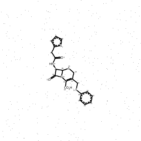 O=C(Cc1cccs1)N[C@@H]1C(=O)N2C(C(=O)O)=C(CSc3ccccc3)CSC12